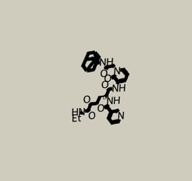 CCNC(=O)C(=O)CC[C@H](NC(=O)c1cccnc1)C(=O)Nc1cccn(CC(=O)NC23CC4CC(CC(C4)C2)C3)c1=O